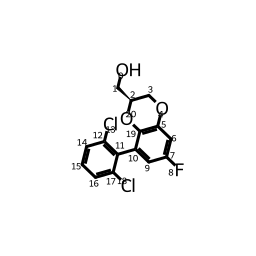 OC[C@H]1COc2cc(F)cc(-c3c(Cl)cccc3Cl)c2O1